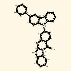 O=c1c2ccc(-n3c4ccccc4c4cc(-c5ccccc5)ccc43)cc2nc2sc3ccccc3n12